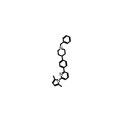 Cc1ccc(C)n1-c1cccc(-c2ccc(C3CCN(Cc4ccccc4)CC3)cc2)n1